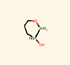 [OH][SnH]1[CH2]CC[O][SnH2]1